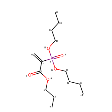 C=C(C(=O)OCCC)P(=O)(OCCCC)OCCCC